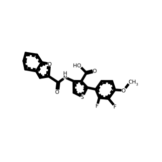 COc1ccc(-c2scc(NC(=O)c3cc4ccccc4o3)c2C(=O)O)c(F)c1F